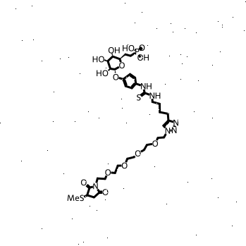 CSC1CC(=O)N(CCOCCOCCOCCOCCn2cc(CCCCNC(=S)Nc3ccc(O[C@H]4O[C@H](CCP(=O)(O)O)[C@@H](O)[C@H](O)[C@@H]4O)cc3)nn2)C1=O